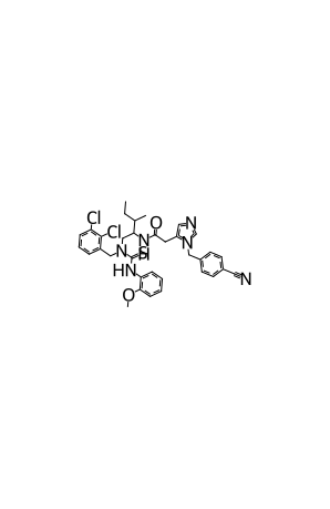 CCC(C)C(CN(Cc1cccc(Cl)c1Cl)C(=S)Nc1ccccc1OC)NC(=O)Cc1cncn1Cc1ccc(C#N)cc1